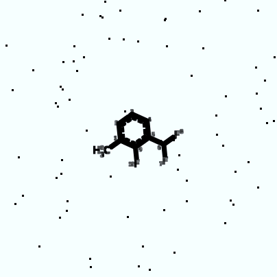 Cc1cccc(C(F)F)c1F